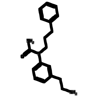 NCCc1cccc(N(CCCc2ccccc2)C(N)=O)c1